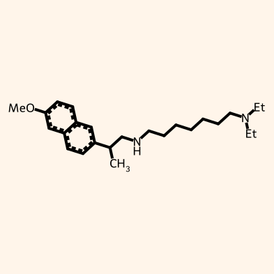 CCN(CC)CCCCCCCNCC(C)c1ccc2cc(OC)ccc2c1